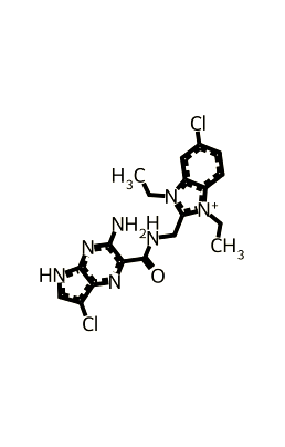 CCn1c(CNC(=O)c2nc3c(Cl)c[nH]c3nc2N)[n+](CC)c2ccc(Cl)cc21